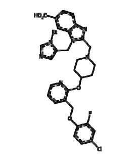 CCn1cncc1Cn1c(CN2CCC(Oc3ncccc3COc3ccc(Cl)cc3F)CC2)nc2ccc(C(=O)O)cc21